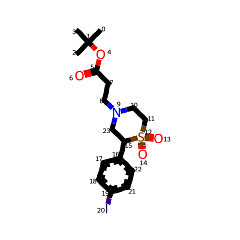 CC(C)(C)OC(=O)CCN1CCS(=O)(=O)C(c2ccc(I)cc2)C1